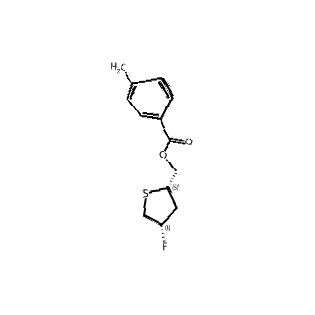 Cc1ccc(C(=O)OC[C@@H]2C[C@H](F)CS2)cc1